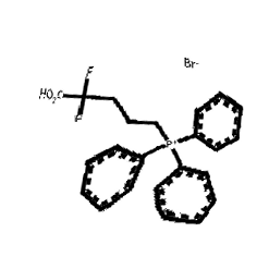 O=C(O)C(F)(F)CCC[P+](c1ccccc1)(c1ccccc1)c1ccccc1.[Br-]